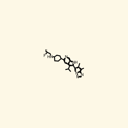 Cc1c(-c2[nH]c3cnc(C4CCC(NCC(F)F)CC4)cc3c2C(C)C)cn2ncnc2c1C